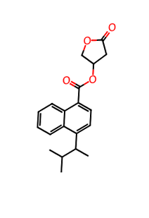 CC(C)C(C)c1ccc(C(=O)OC2COC(=O)C2)c2ccccc12